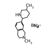 CC1CCC(c2ccc3c(c2)CN(C)CC3)NC1.[BH4-].[Na+]